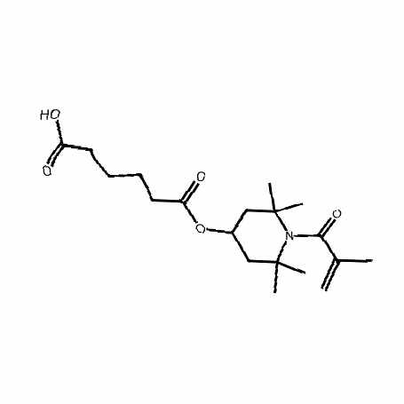 C=C(C)C(=O)N1C(C)(C)CC(OC(=O)CCCCC(=O)O)CC1(C)C